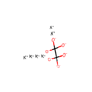 [K+].[K+].[K+].[K+].[K+].[K+].[O-]C([O-])([O-])C([O-])([O-])[O-]